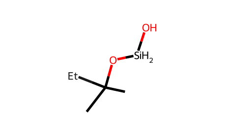 CCC(C)(C)O[SiH2]O